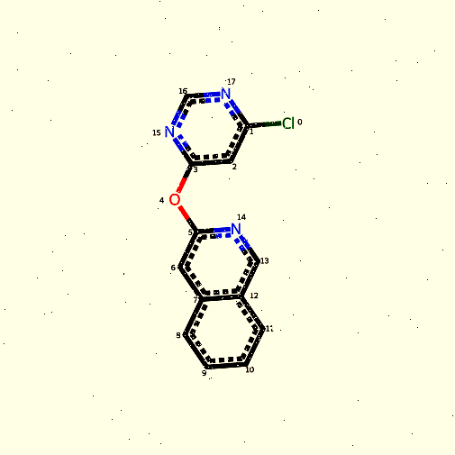 Clc1cc(Oc2cc3ccccc3cn2)ncn1